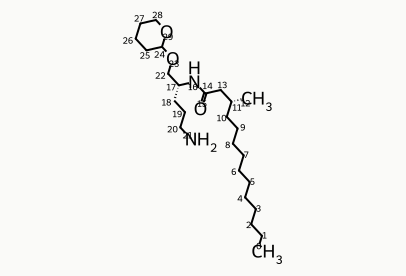 CCCCCCCCCCC[C@@H](C)CC(=O)N[C@H](CCCN)COC1CCCCO1